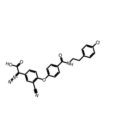 N#Cc1cc(C(=[N+]=[N-])C(=O)O)ccc1Oc1ccc(C(=O)NCCc2ccc(Cl)cc2)cc1